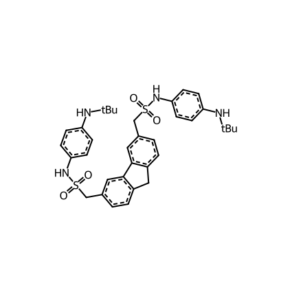 CC(C)(C)Nc1ccc(NS(=O)(=O)Cc2ccc3c(c2)-c2cc(CS(=O)(=O)Nc4ccc(NC(C)(C)C)cc4)ccc2C3)cc1